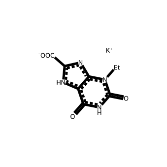 CCn1c(=O)[nH]c(=O)c2[nH]c(C(=O)[O-])nc21.[K+]